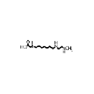 CNCCNCCCCCCCNCC(=O)O